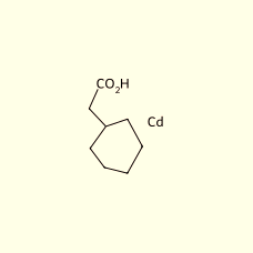 O=C(O)CC1CCCCC1.[Cd]